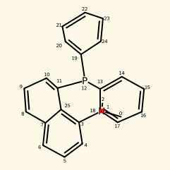 CN(C)c1cccc2cccc(P(c3ccccc3)c3ccccc3)c12